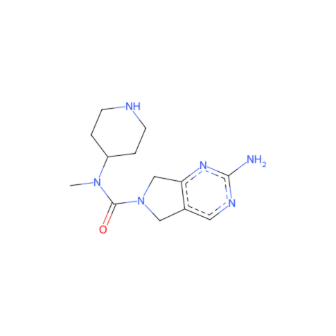 CN(C(=O)N1Cc2cnc(N)nc2C1)C1CCNCC1